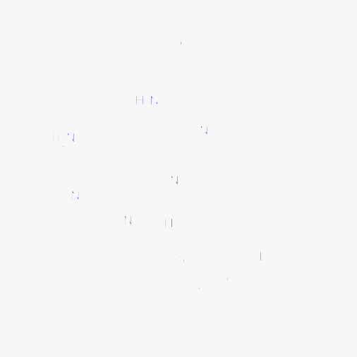 CC(Cc1ccc2cc(Cl)c(N)nc2c1)C1=C[C@@H](n2ccc3c(N)ncnc32)[C@@H]2OC(C)(C)O[C@H]12